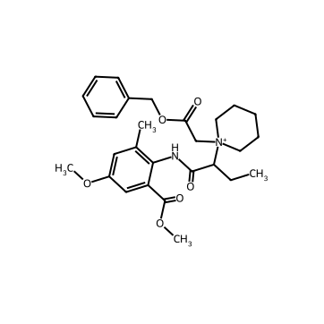 CCC(C(=O)Nc1c(C)cc(OC)cc1C(=O)OC)[N+]1(CC(=O)OCc2ccccc2)CCCCC1